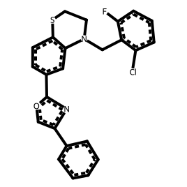 Fc1cccc(Cl)c1CN1CCSc2ccc(-c3nc(-c4ccccc4)co3)cc21